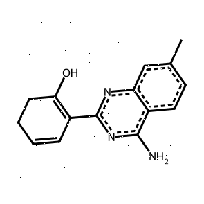 Cc1ccc2c(N)nc(C3=C(O)CCC=C3)nc2c1